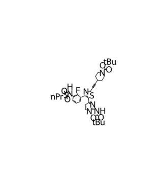 CCCS(=O)(=O)Nc1cccc(-c2nc(C#CC3CCN(C(=O)OC(C)(C)C)CC3)sc2-c2ccnc(NC(=O)OC(C)(C)C)n2)c1F